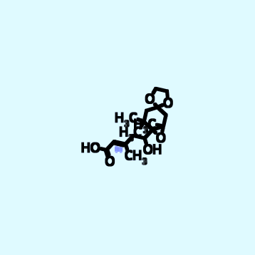 C/C(=C\C(=O)O)CC(O)C12OC1(C)CC1(CC2(C)C)OCCO1